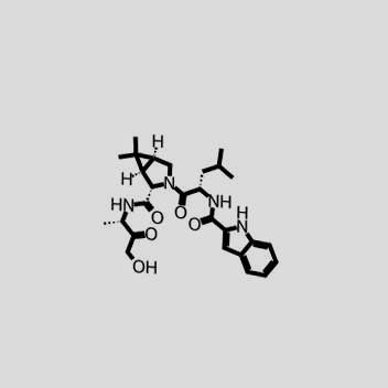 CC(C)C[C@H](NC(=O)c1cc2ccccc2[nH]1)C(=O)N1C[C@H]2[C@@H]([C@H]1C(=O)N[C@@H](C)C(=O)CO)C2(C)C